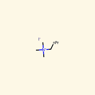 [CH2]CCC[N+](C)(C)C.[I-]